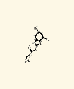 CCOC(=O)Cc1nc2c(F)cc(Br)cc2s1